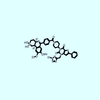 CCOc1cc2c(cc1OC)C(c1ccc(C(=O)N3CCC(n4c(=O)c5sc(-c6ccccc6)cc5n(Cc5nnn(CC)n5)c4=O)CC3)cc1)=N[C@@H]1CCS(O)(O)C[C@H]21